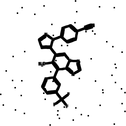 Cc1c(-c2ccnn2-c2ccc(C#N)cc2)cn2ncnc2c1-c1cccc(C(F)(F)F)c1